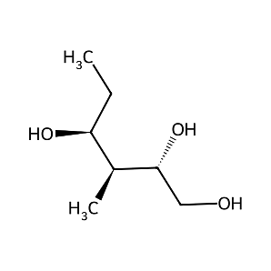 CC[C@H](O)[C@H](C)[C@H](O)CO